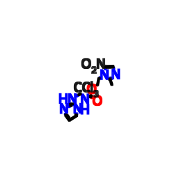 Cc1ncc([N+](=O)[O-])n1CCOC(=O)NC(Nc1ncccn1)C(Cl)(Cl)Cl